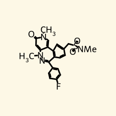 CNS(=O)(=O)Cc1ccc2c(c1)-c1cn(C)c(=O)cc1N(C)N=C2c1ccc(F)cc1